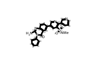 CNS(=O)(=O)c1cc(-c2ccc3nc(N)n(-c4ccccc4)c(=O)c3c2)cnc1-c1cccnc1